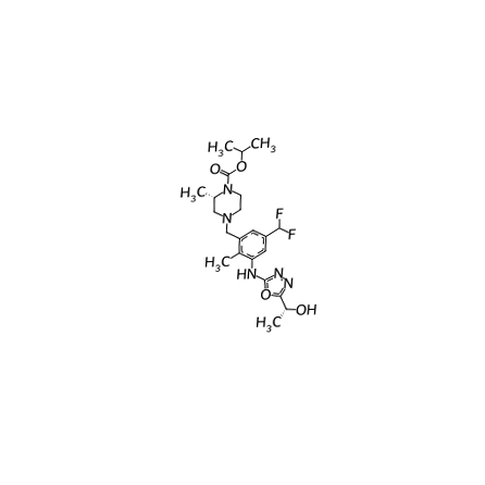 Cc1c(CN2CCN(C(=O)OC(C)C)[C@@H](C)C2)cc(C(F)F)cc1Nc1nnc([C@@H](C)O)o1